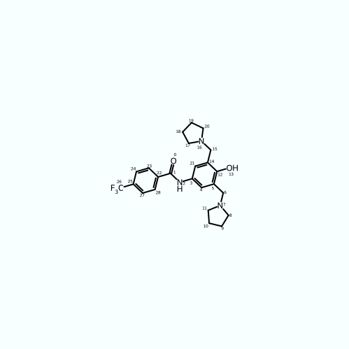 O=C(Nc1cc(CN2CCCC2)c(O)c(CN2CCCC2)c1)c1ccc(C(F)(F)F)cc1